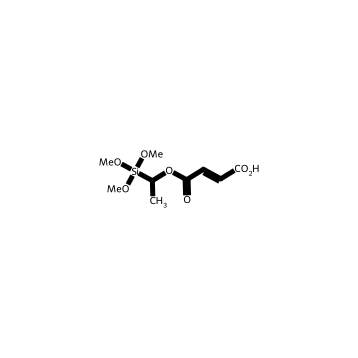 CO[Si](OC)(OC)C(C)OC(=O)C=CC(=O)O